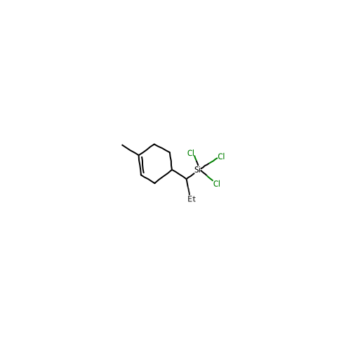 CCC(C1CC=C(C)CC1)[Si](Cl)(Cl)Cl